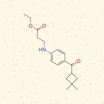 CCOC(=O)CCNc1ccc(C(=O)C2CC(C)(C)C2)cc1